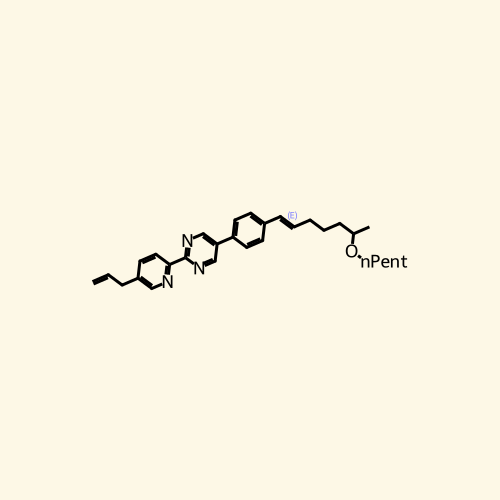 C=CCc1ccc(-c2ncc(-c3ccc(/C=C/CCCC(C)OCCCCC)cc3)cn2)nc1